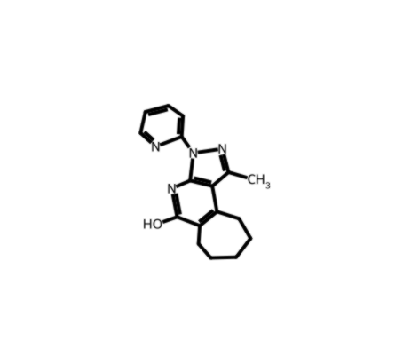 Cc1nn(-c2ccccn2)c2nc(O)c3c(c12)CCCCC3